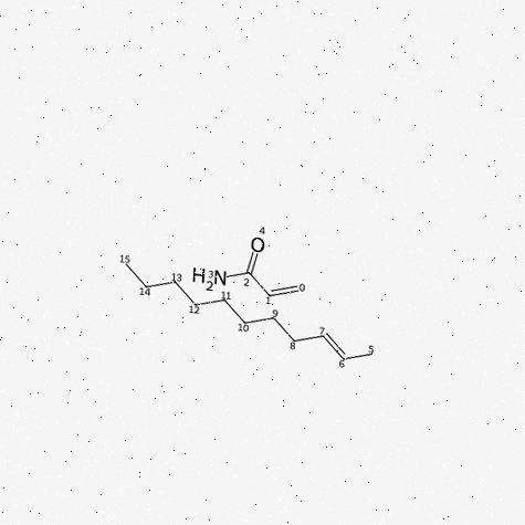 C=CC(N)=O.CC=CCCCCCCCC